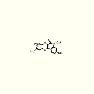 CCCCCCCCn1c(=O)c(OCC(C)CCC)c(OCC=C(C)C)c2ccc(N)cc21